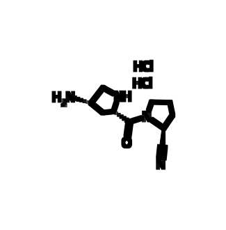 Cl.Cl.N#C[C@@H]1CCCN1C(=O)[C@@H]1C[C@H](N)CN1